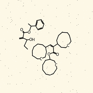 C=C(C(=O)OC(C)c1ccccc1)C(O)CC.O=C(OC1CCCCCCCCC1)C(=CC1CCCCCCCCC1)C1CCCCCCCCC1